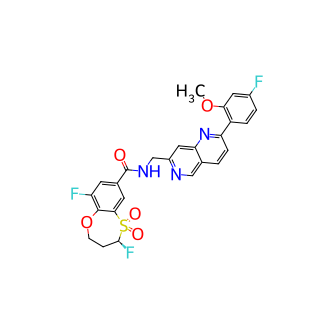 COc1cc(F)ccc1-c1ccc2cnc(CNC(=O)c3cc(F)c4c(c3)S(=O)(=O)[C@@H](F)CCO4)cc2n1